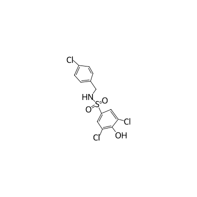 O=S(=O)(NCc1ccc(Cl)cc1)c1cc(Cl)c(O)c(Cl)c1